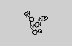 COc1cccc(CN(Cc2cccc(-n3cccn3)c2)c2ccnc(CN3CCOCC3)c2)c1